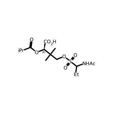 CCC(NC(C)=O)S(=O)(=O)OCC(C)(C)[C@@H](OC(=O)C(C)C)C(=O)O